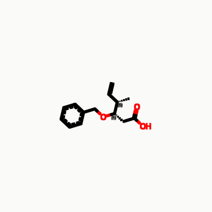 C=C[C@H](C)[C@H](CC(=O)O)OCc1ccccc1